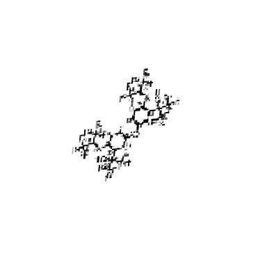 OC(c1cc(Oc2ccc(N=C(C(F)(F)F)C(F)(F)F)c(C(O)(C(F)(F)F)C(F)(F)F)c2)ccc1N=C(C(F)(F)F)C(F)(F)F)(C(F)(F)F)C(F)(F)F